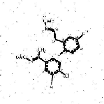 CON=C(C)c1ccc(Cl)c(F)c1.CON=CCc1cc(F)ccc1F